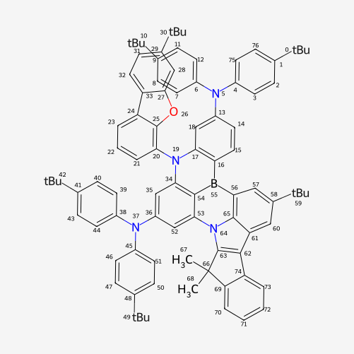 CC(C)(C)c1ccc(N(c2ccc(C(C)(C)C)cc2)c2ccc3c(c2)N(c2cccc4c2oc2cc(C(C)(C)C)ccc24)c2cc(N(c4ccc(C(C)(C)C)cc4)c4ccc(C(C)(C)C)cc4)cc4c2B3c2cc(C(C)(C)C)cc3c5c(n-4c23)C(C)(C)c2ccccc2-5)cc1